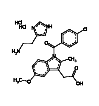 COc1ccc2c(c1)c(CC(=O)O)c(C)n2C(=O)c1ccc(Cl)cc1.Cl.Cl.NCCc1c[nH]cn1